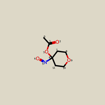 CC(=O)OC1(N=O)CCOCC1